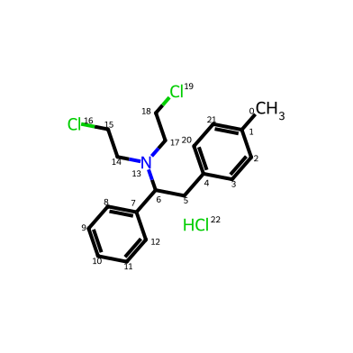 Cc1ccc(CC(c2ccccc2)N(CCCl)CCCl)cc1.Cl